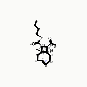 CCCCOC(=O)[C@@H]1[C@H]2CC/C=C/CC[C@@H]2[C@@H]1C(C)=O